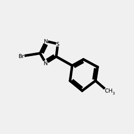 Cc1ccc(-c2nc(Br)ns2)cc1